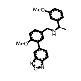 COc1cccc([C@@H](C)NCc2ccc(OC)c(-c3ccc4nonc4c3)c2)c1